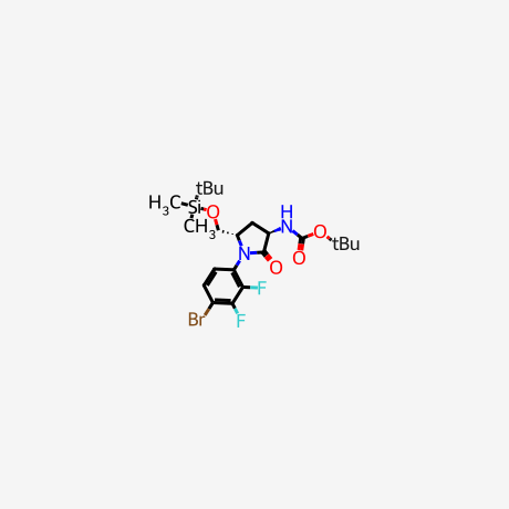 CC(C)(C)OC(=O)N[C@@H]1C[C@@H](CO[Si](C)(C)C(C)(C)C)N(c2ccc(Br)c(F)c2F)C1=O